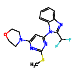 CSc1nc(N2CCOCC2)cc(-n2c(C(F)F)nc3ccccc32)n1